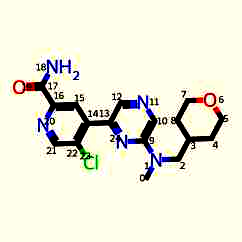 CN(CC1CCOCC1)c1cncc(-c2cc(C(N)=O)ncc2Cl)n1